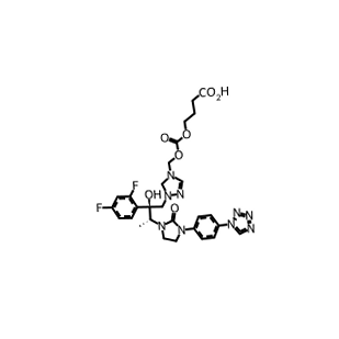 C[C@@H](N1CCN(c2ccc(-n3cnnn3)cc2)C1=O)[C@@](O)(CN1CN(COC(=O)OCCCC(=O)O)C=N1)c1ccc(F)cc1F